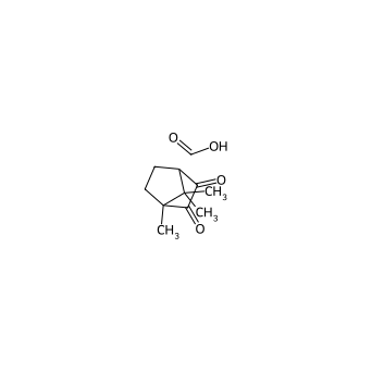 CC12CCC(C(=O)C1=O)C2(C)C.O=CO